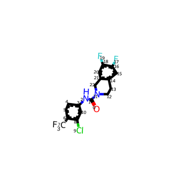 O=C(Nc1ccc(C(F)(F)F)c(Cl)c1)N1CCc2cc(F)c(F)cc2C1